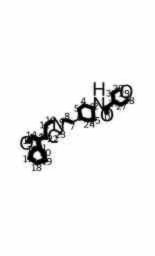 O=C(N[C@H]1CC[C@H](CCN2CCC(c3coc4ccccc34)CC2)CC1)C1CCOCC1